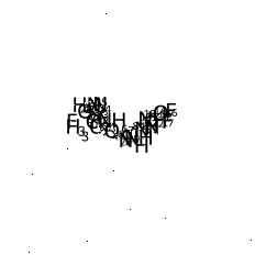 C[C@@H](COCc1cc(CNc2ncc(OC(F)F)cn2)[nH]n1)Nc1cn[nH]c(=O)c1C(F)(F)F